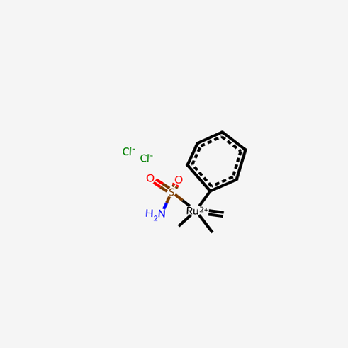 [CH2]=[Ru+2]([CH3])([CH3])([c]1ccccc1)[S](N)(=O)=O.[Cl-].[Cl-]